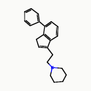 C1=C(CCN2CCCCC2)c2cccc(-c3ccccc3)c2C1